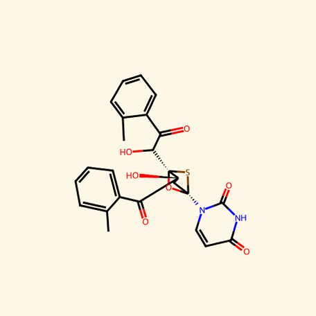 Cc1ccccc1C(=O)C(O)[C@@]12O[C@@](n3ccc(=O)[nH]c3=O)(C[C@@]1(O)C(=O)c1ccccc1C)S2